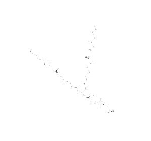 CCCCCCCOC(=O)CCCCCCCC(CCCCCCCC(=O)OCCCCCCC)OC(=O)CC1CC(CN(C)C)C1